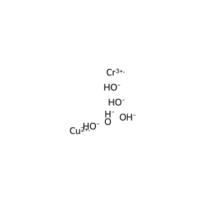 [Cr+3].[Cu+2].[OH-].[OH-].[OH-].[OH-].[OH-]